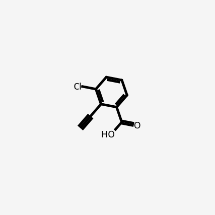 C#Cc1c(Cl)cccc1C(=O)O